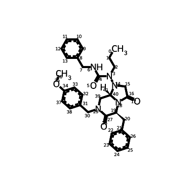 CCCN(C(=O)NCc1ccccc1)N1CC(=O)N2[C@@H](Cc3ccccc3)C(=O)N(Cc3ccc(OC)cc3)C[C@@H]21